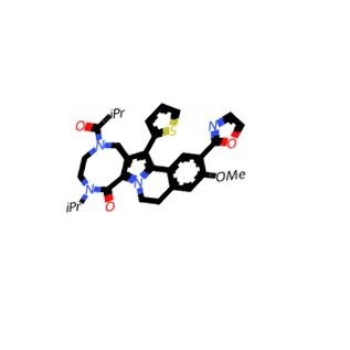 COc1cc2c(cc1-c1ncco1)-c1c(-c3cccs3)c3c(n1CC2)C(=O)N(C(C)C)CCN(C(=O)C(C)C)C3